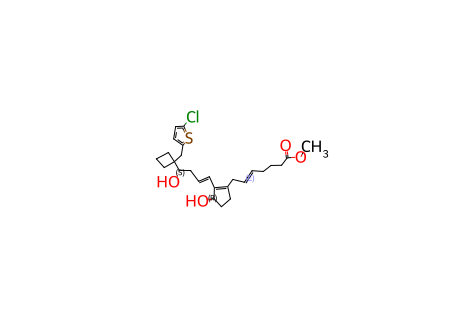 COC(=O)CCC/C=C/CC1=C(C=CC[C@H](O)C2(Cc3ccc(Cl)s3)CCC2)[C@H](O)CC1